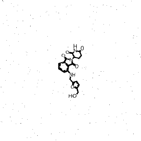 O=C1CCC(N2C(=O)c3cccc(NCc4ccc(CO)o4)c3C2=O)C(=O)N1